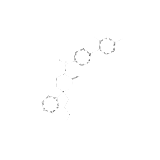 Cc1ccc(-c2ccc([C@H](C)N3CCC(CCCO)(c4ccc(F)cc4)OC3=O)cc2)c(C)n1